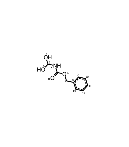 O=C(NC(O)O)OCc1ccccc1